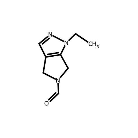 CCn1ncc2c1CN(C=O)C2